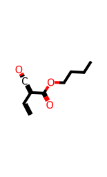 C=CC(=C=O)C(=O)OCCCC